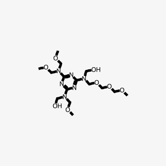 COCOCOCN(CO)c1nc(N(CO)COC)nc(N(COC)COC)n1